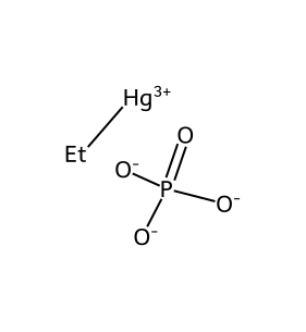 C[CH2][Hg+3].O=P([O-])([O-])[O-]